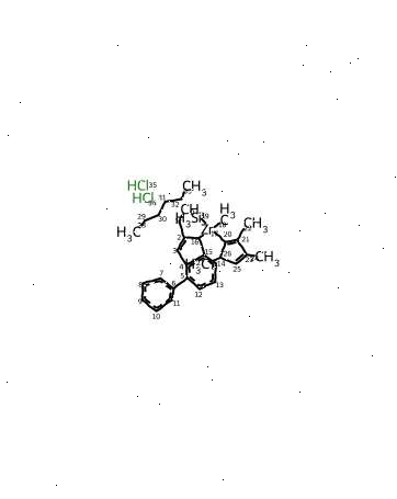 CCC1=Cc2c(-c3ccccc3)cccc2[CH]1[Zr]([CH3])([SiH3])[C]1=C(C)C(C)=CC1C.CCCCCC.Cl.Cl